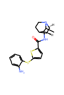 C[C@H]1[C@H](NC(=O)c2ccc(Sc3ccccc3N)s2)C2CCN1CC2